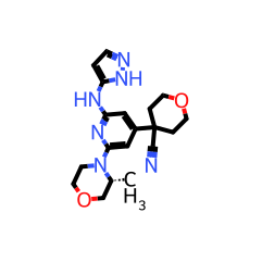 C[C@@H]1COCCN1c1cc(C2(C#N)CCOCC2)cc(Nc2ccn[nH]2)n1